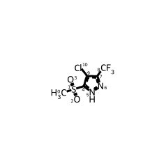 CS(=O)(=O)c1[nH]nc(C(F)(F)F)c1Cl